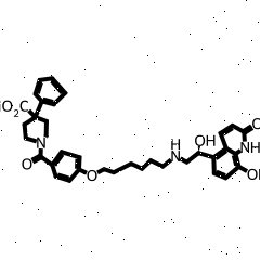 O=C(c1ccc(OCCCCCCNC[C@H](O)c2ccc(O)c3[nH]c(=O)ccc23)cc1)N1CCC(C(=O)O)(c2ccccc2)CC1